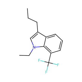 CCCc1cn(CC)c2c(C(F)(F)F)cccc12